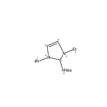 CCCCCCC1N(CC)C=CN1C(C)C